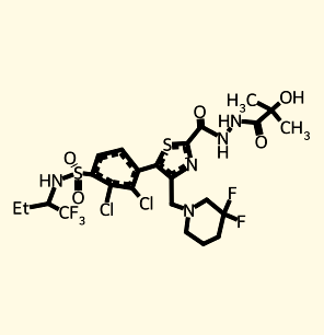 CCC(NS(=O)(=O)c1ccc(-c2sc(C(=O)NNC(=O)C(C)(C)O)nc2CN2CCCC(F)(F)C2)c(Cl)c1Cl)C(F)(F)F